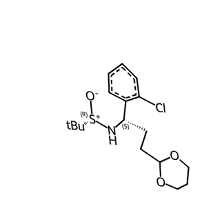 CC(C)(C)[S@+]([O-])N[C@@H](CCC1OCCCO1)c1ccccc1Cl